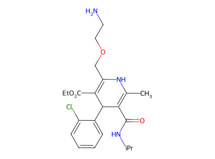 CCOC(=O)C1=C(COCCN)NC(C)=C(C(=O)NC(C)C)C1c1ccccc1Cl